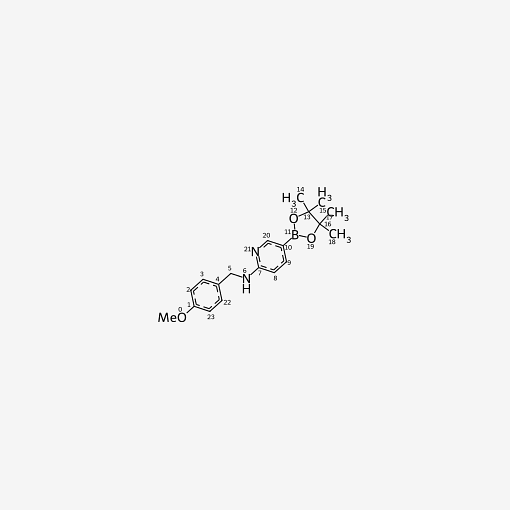 COc1ccc(CNc2ccc(B3OC(C)(C)C(C)(C)O3)cn2)cc1